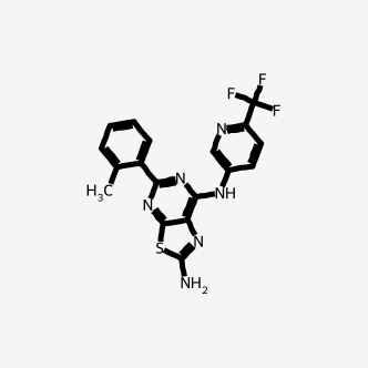 Cc1ccccc1-c1nc(Nc2ccc(C(F)(F)F)nc2)c2nc(N)sc2n1